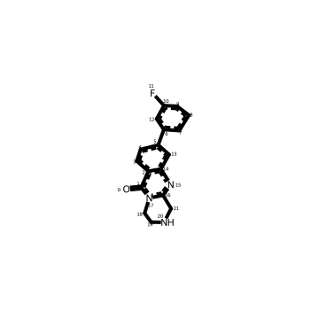 O=c1c2ccc(-c3cccc(F)c3)cc2nc2n1CCNC2